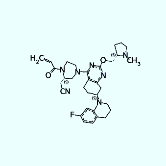 C=CC(=O)N1CCN(c2nc(OC[C@@H]3CCCN3C)nc3c2CC[C@H](N2CCCc4ccc(F)cc42)C3)C[C@@H]1CC#N